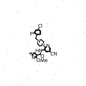 COc1nn(C)cc1C(=O)Nc1cc(C#N)cnc1N1CCN(Cc2ccc(Cl)cc2F)CC1